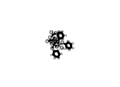 O=P(O)(O)OP(=O)(O)OP(=O)(Oc1ccccc1)OP(=O)(Oc1ccccc1)Oc1ccccc1